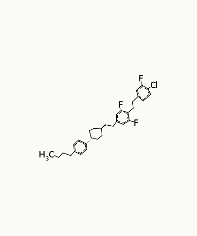 CCCCc1ccc([C@H]2CC[C@H](CCc3cc(F)c(CCc4ccc(Cl)c(F)c4)c(F)c3)CC2)cc1